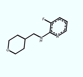 Fc1cc[c]nc1NCC1CCOCC1